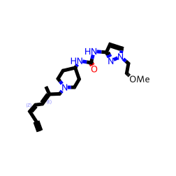 C#C/C=C\C=C(/C)CN1CCC(NC(=O)Nc2ccn(CCOC)n2)CC1